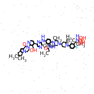 C=CC(=O)Nc1cc(Nc2nc(-c3ccnc(N4CCn5c(cc6c5CC(C)(C)C6)C4=O)c3CO)cnc2OC)ccc1N1CCN(C2CCN(c3ccc(F)c(C(C)(C)NP(=O)(O)O)c3)[C@H](C)C2)C[C@@H]1C